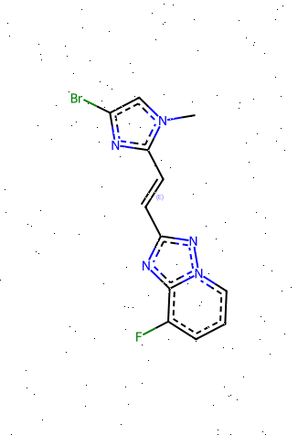 Cn1cc(Br)nc1/C=C/c1nc2c(F)cccn2n1